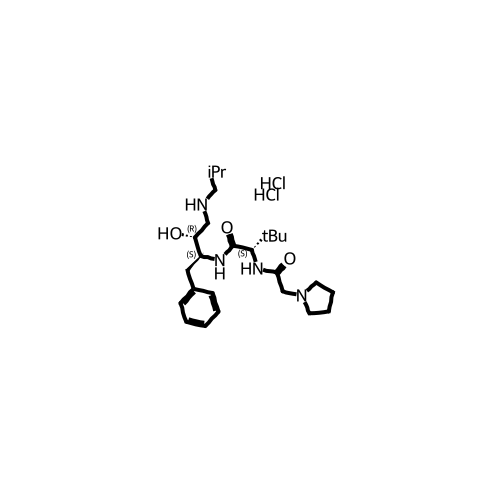 CC(C)CNC[C@@H](O)[C@H](Cc1ccccc1)NC(=O)[C@@H](NC(=O)CN1CCCC1)C(C)(C)C.Cl.Cl